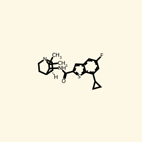 CC1(C)[C@@H](NC(=O)c2cc3cc(F)cc(C4CC4)c3s2)C2CCN1CC2